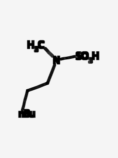 CCCCCCN(C)S(=O)(=O)O